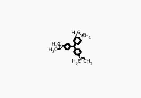 CCN(C)c1ccc(C(=C2C=CC(=[N+](C)C)C=C2)c2ccc(N(C)CC)cc2)cc1